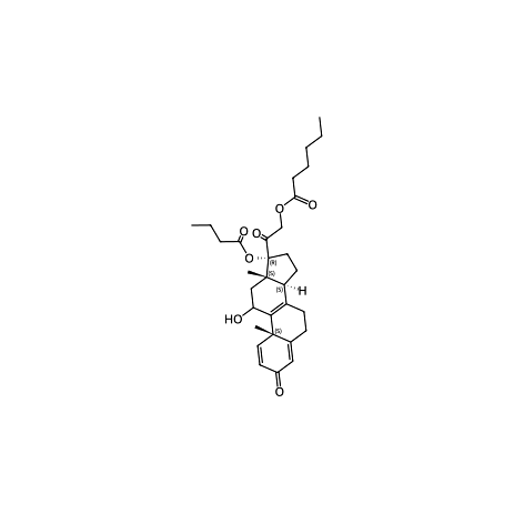 CCCCCC(=O)OCC(=O)[C@@]1(OC(=O)CCC)CC[C@H]2C3=C(C(O)C[C@@]21C)[C@@]1(C)C=CC(=O)C=C1CC3